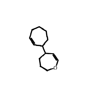 C1=CC(C2C=COCCC2)CCCC1